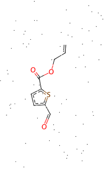 C=CCOC(=O)c1ccc(C=O)s1